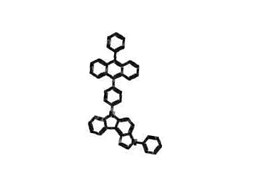 c1ccc(-c2c3ccccc3c(-c3ccc(-n4c5ccccc5c5c6ccn(-c7ccccc7)c6ccc54)cc3)c3ccccc23)cc1